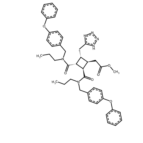 CCCN(Cc1ccc(Oc2ccccc2)cc1)C(=O)[C@@H]1[C@H](CC(=O)OC)[C@@H](Cc2nnn[nH]2)[C@H]1C(=O)N(CCC)Cc1ccc(Oc2ccccc2)cc1